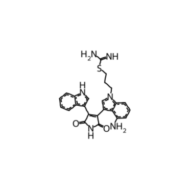 N=C(N)SCCCn1cc(C2=C(c3c[nH]c4ccccc34)C(=O)NC2=O)c2c(N)cccc21